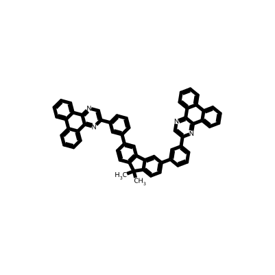 CC1(C)c2ccc(-c3cccc(-c4cnc5c6ccccc6c6ccccc6c5n4)c3)cc2-c2cc(-c3cccc(-c4cnc5c6ccccc6c6ccccc6c5n4)c3)ccc21